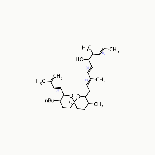 C=C(C)/C=C/C1O[C@@]2(CCC(C)C(C/C=C(C)/C=C/C(O)C(C)/C=C/C)O2)CCC1CCCC